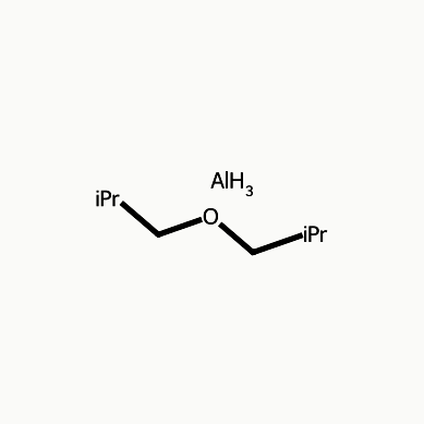 CC(C)COCC(C)C.[AlH3]